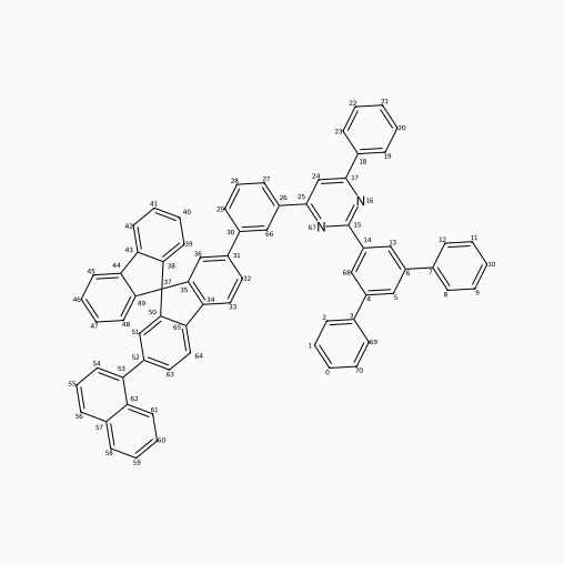 c1ccc(-c2cc(-c3ccccc3)cc(-c3nc(-c4ccccc4)cc(-c4cccc(-c5ccc6c(c5)C5(c7ccccc7-c7ccccc75)c5cc(-c7cccc8ccccc78)ccc5-6)c4)n3)c2)cc1